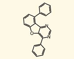 c1ccc(-c2ncnc3c2oc2cccc(-c4ccccc4)c23)cc1